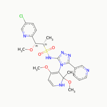 COC1=C(n2c(NS(=O)(=O)[C@@H](C)[C@H](OC)c3ccc(Cl)cn3)nnc2-c2cccnc2)C(C)(OC)NC=C1